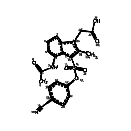 CC(=O)Nc1cccc2c1c(S(=O)(=O)Oc1ccc(C#N)cc1)c(C)n2CC(=O)O